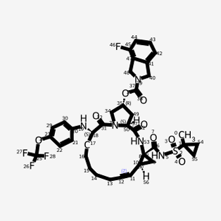 CC1(S(=O)(=O)NC(=O)[C@@]23C[C@H]2/C=C\CCCCC[C@H](Nc2ccc(OC(F)(F)F)cc2)C(=O)N2C[C@H](OC(=O)N4Cc5cccc(F)c5C4)C[C@H]2C(=O)N3)CC1